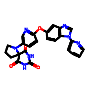 O=C1NC(=O)C2(CCCN2c2ccc(Oc3ccc4c(c3)ncn4-c3ccccn3)nc2)C(=O)N1